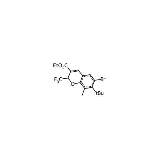 CCOC(=O)C1=Cc2cc(Br)c(C(C)(C)C)c(C)c2OC1C(F)(F)F